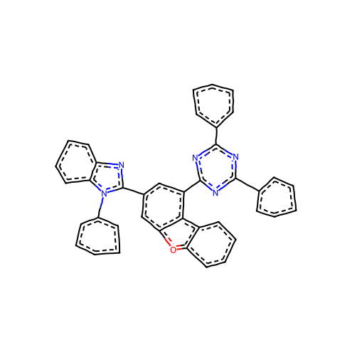 c1ccc(-c2nc(-c3ccccc3)nc(-c3cc(-c4nc5ccccc5n4-c4ccccc4)cc4oc5ccccc5c34)n2)cc1